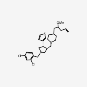 C=CCC(CC1CCN(C[C@H]2CN(Cc3ccc(Cl)cc3Cl)C[C@@H]2c2ccsc2)CC1)OC